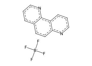 F[B-](F)(F)F.c1cnc2c(c1)ccc1ncccc12